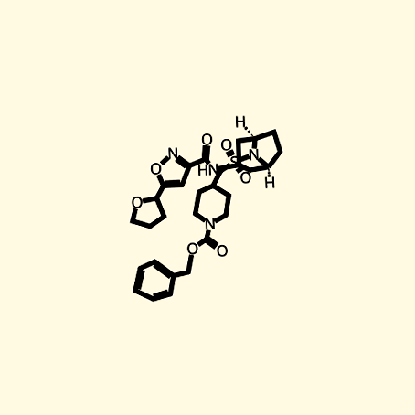 O=C(NC1C[C@H]2CC[C@@H](C1)N2S(=O)(=O)CC1CCN(C(=O)OCc2ccccc2)CC1)c1cc(C2CCCO2)on1